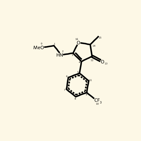 COCNC1=C(c2cccc(C(F)(F)F)c2)C(=O)C(C)O1